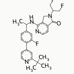 CC(Nc1nccc2c1CN(C(CF)CF)C2=O)c1ccc(-c2ccnc(C(C)(C)C)c2)c(F)c1